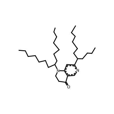 CCCCCCCC(CCCCCCC)N1CCC(=O)c2cnc(C(CCCC)CCCCCC)cc21